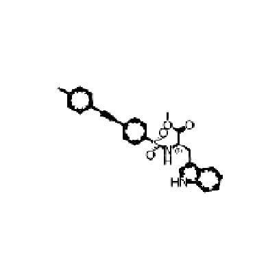 COC(=O)[C@@H](Cc1c[nH]c2ccccc12)NS(=O)(=O)c1ccc(C#Cc2ccc(C)cc2)cc1